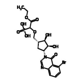 CCOC(=O)C(OC[C@H]1C[C@@H](n2cnc3cccc(Br)c3c2=O)[C@H](O)[C@@H]1O)P(=O)(O)O